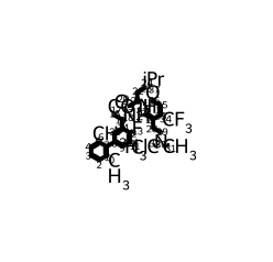 Cc1cccc(C)c1-c1cc(Cl)c(F)c(C(CC(=O)O)NC(=O)C(CCC(C)C)n2cc(CCN(C)C)c(C(F)(F)F)cc2=O)c1